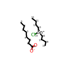 CCCCCCCC(=O)[O-].CCC[CH2][Sn+]([Cl])[CH2]CCC